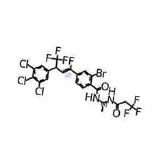 C[C@H](NC(=O)CC(F)(F)F)NC(=O)c1ccc(/C(F)=C/C(c2cc(Cl)c(Cl)c(Cl)c2)C(F)(F)F)cc1Br